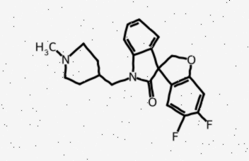 CN1CCC(CN2C(=O)C3(COc4cc(F)c(F)cc43)c3ccccc32)CC1